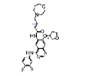 O=C(/C=C/CN1CCCOCC1)Nc1cc2c(Nc3ccc(F)c(F)c3)ncnc2cc1O[C@H]1CCOC1